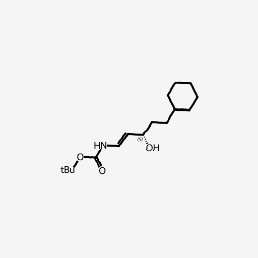 CC(C)(C)OC(=O)NC=C[C@@H](O)CCC1CCCCC1